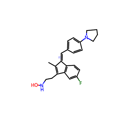 CC1=C(CCNO)c2cc(F)ccc2/C1=C\c1ccc(N2CCCC2)cc1